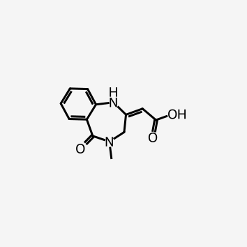 CN1CC(=CC(=O)O)Nc2ccccc2C1=O